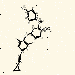 Cc1cc(C#CC2CC2)cc(C)c1Oc1ccc([N+](=O)[O-])c(Nc2ccc(C#N)cc2)n1